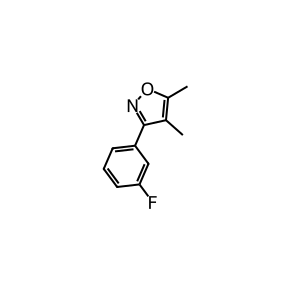 Cc1onc(-c2cccc(F)c2)c1C